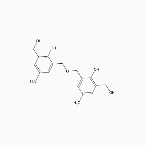 Cc1cc(CO)c(O)c(COCc2cc(C)cc(CO)c2O)c1